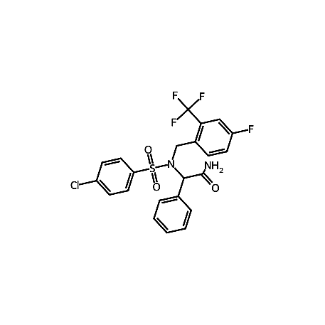 NC(=O)C(c1ccccc1)N(Cc1ccc(F)cc1C(F)(F)F)S(=O)(=O)c1ccc(Cl)cc1